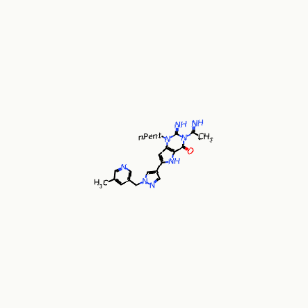 CCCCCn1c(=N)n(C(C)=N)c(=O)c2[nH]c(-c3cnn(Cc4cncc(C)c4)c3)cc21